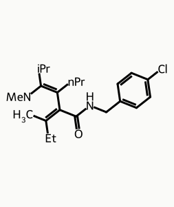 CCCC(/C(C(=O)NCc1ccc(Cl)cc1)=C(\C)CC)=C(/NC)C(C)C